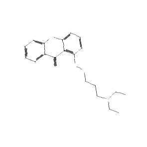 CCN(CC)CCCOSc1cccc2oc3ccccc3c(=O)c12